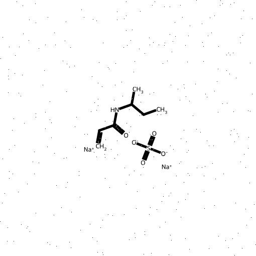 C=CC(=O)NC(C)CC.O=S(=O)([O-])[O-].[Na+].[Na+]